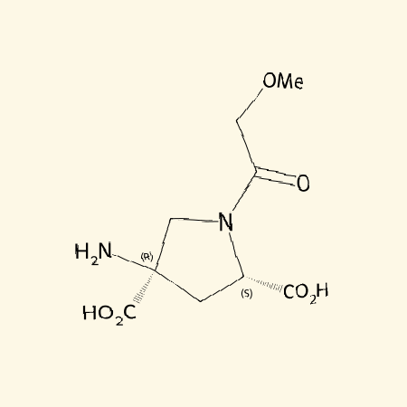 COCC(=O)N1C[C@@](N)(C(=O)O)C[C@H]1C(=O)O